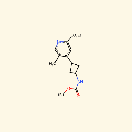 CCOC(=O)c1cc(C2CC(NC(=O)OC(C)(C)C)C2)c(C)cn1